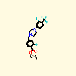 COC(=O)c1ccc(CN2CCN(c3ccc(C(F)(F)F)c(F)c3)CC2)cc1F